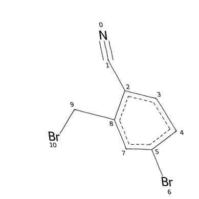 N#Cc1ccc(Br)cc1CBr